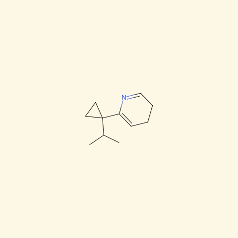 CC(C)C1(C2=CCCC=N2)CC1